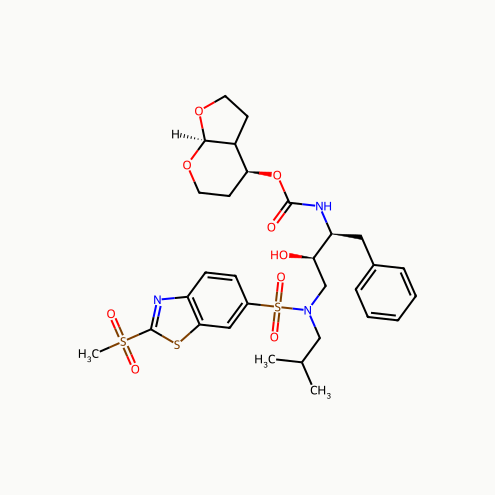 CC(C)CN(C[C@@H](O)[C@H](Cc1ccccc1)NC(=O)O[C@H]1CCO[C@H]2OCCC21)S(=O)(=O)c1ccc2nc(S(C)(=O)=O)sc2c1